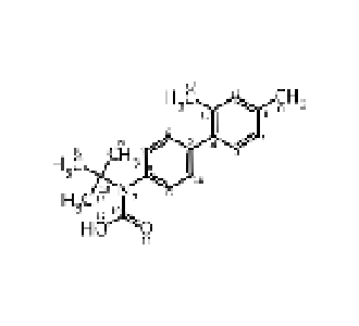 Cc1ccc(-c2ccc(N(C(=O)O)C(C)(C)C)cc2)c(C)c1